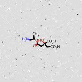 CC(CN)OC(=O)CC(O)(CC(=O)O)C(=O)O